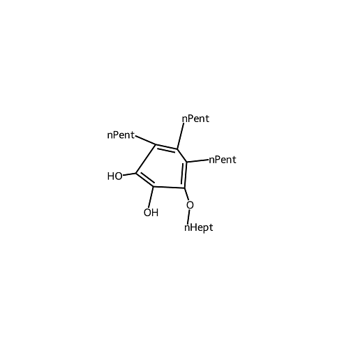 CCCCCCCOc1c(O)c(O)c(CCCCC)c(CCCCC)c1CCCCC